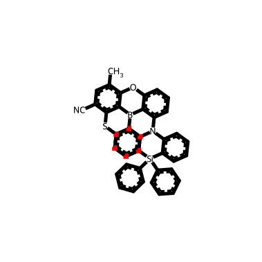 Cc1cc(C#N)c2c3c1Oc1cccc(N4c5ccccc5[Si](c5ccccc5)(c5ccccc5)c5ccccc54)c1B3c1ccccc1S2